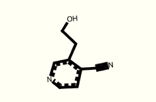 N#Cc1ccncc1CCO